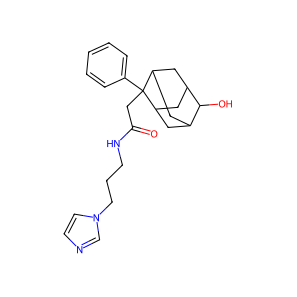 O=C(CC1(c2ccccc2)C2CC3CC1CC(C2)C3O)NCCCn1ccnc1